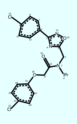 CC(C)N(Cc1nc(-c2ccc(Cl)cc2)no1)C(=O)COc1ccc(Cl)cc1